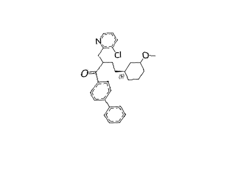 COC1CCC[C@@H](CCC(Cc2ncccc2Cl)C(=O)c2ccc(-c3ccccc3)cc2)C1